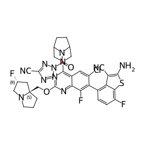 N#Cc1ncn(C(=O)N2C3CCC2CN(c2nc(OC[C@@]45CCCN4C[C@H](F)C5)nc4c(F)c(-c5ccc(F)c6sc(N)c(C#N)c56)c(Cl)cc24)C3)n1